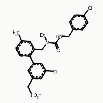 CCN(Cc1cc(C(F)(F)F)ccc1-c1cc(Cl)cc(CC(=O)O)c1)C(=O)NCc1ccc(Cl)cc1